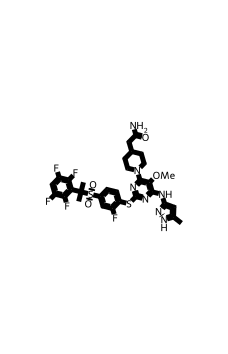 COc1c(Nc2cc(C)[nH]n2)nc(Sc2ccc(S(=O)(=O)C(C)(C)c3c(F)c(F)cc(F)c3F)cc2F)nc1N1CCC(CC(N)=O)CC1